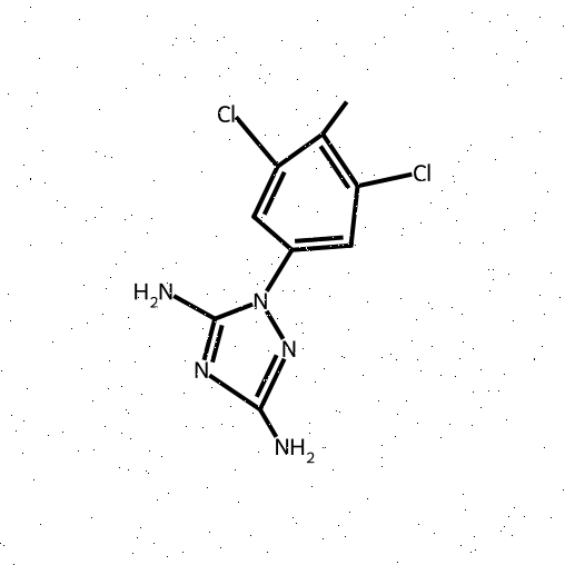 Cc1c(Cl)cc(-n2nc(N)nc2N)cc1Cl